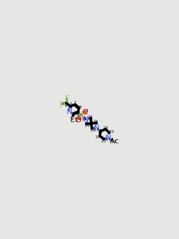 CCc1nc(C(F)F)ccc1S(=O)(=O)N1CC2(CN(C3CCN(C(C)=O)CC3)C2)C1